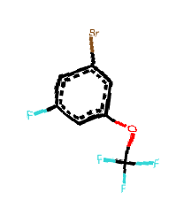 Fc1cc(Br)cc(OC(F)(F)F)c1